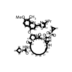 COc1ccc2c(O[C@@H]3C[C@H]4C(=O)N[C@]5(C(=O)NS(=O)(=O)C6CC6)C[C@H]5/C=C\CCCCC[C@H](NC(=O)N5CCC5)C(=O)N4C3)cc(-c3nc(C(C)C)cs3)nc2c1C